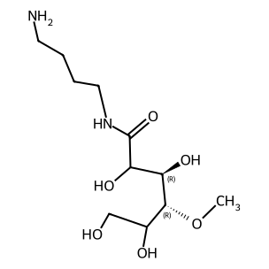 CO[C@H](C(O)CO)[C@H](O)C(O)C(=O)NCCCCN